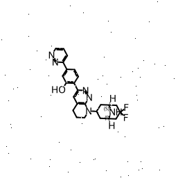 Oc1cc(-c2cccnn2)ccc1-c1cc2c(nn1)N(C1C[C@@H]3CC(F)(F)C[C@H](C1)N3)CCC2